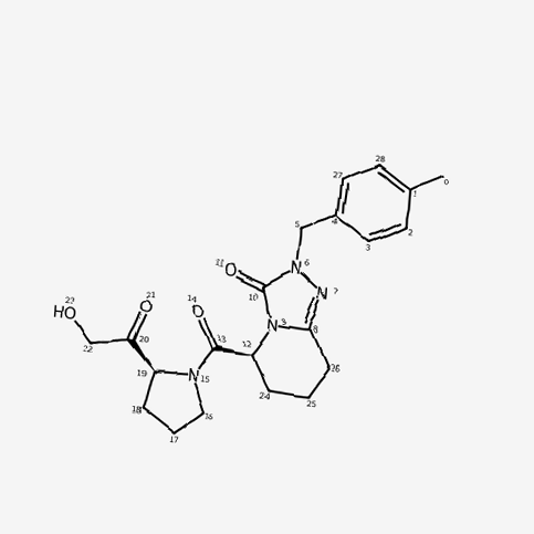 Cc1ccc(Cn2nc3n(c2=O)[C@H](C(=O)N2CCC[C@H]2C(=O)CO)CCC3)cc1